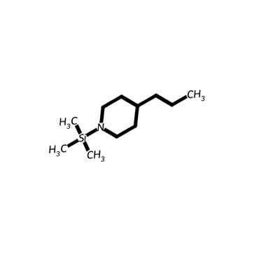 CCCC1CCN([Si](C)(C)C)CC1